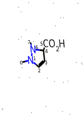 CN1C=CC(C(=O)O)N1C